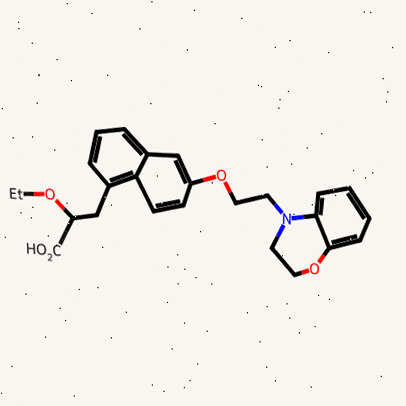 CCOC(Cc1cccc2cc(OCCN3CCOc4ccccc43)ccc12)C(=O)O